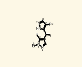 CCn1ncc(C(C)c2[nH]ncc2F)c1C